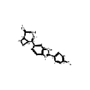 O=C1NN=C(c2ccc3nc(-c4ccc(F)cc4)oc3c2)C2CCC12